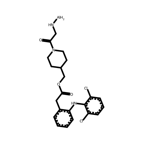 O=C(Cc1ccccc1Nc1c(Cl)cccc1Cl)OCC1CCN(C(=O)C[NH][AlH2])CC1